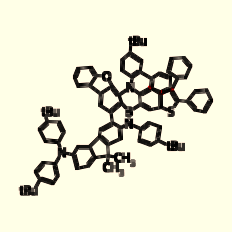 CC(C)(C)c1ccc(N2B3c4cc5sc(-c6ccccc6)c(-c6ccccc6)c5cc4N(c4ccc(C(C)(C)C)cc4-c4ccccc4)c4c3c(cc3c4oc4ccccc43)-c3cc4c(cc32)C(C)(C)c2ccc(N(c3ccc(C(C)(C)C)cc3)c3ccc(C(C)(C)C)cc3)cc2-4)cc1